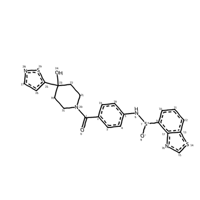 O=C(c1ccc(N[S+]([O-])c2cccc3scnc23)cc1)N1CCC(O)(c2ccns2)CC1